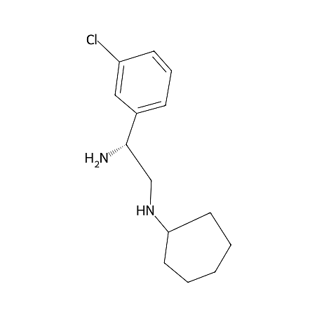 N[C@@H](CNC1CCCCC1)c1cccc(Cl)c1